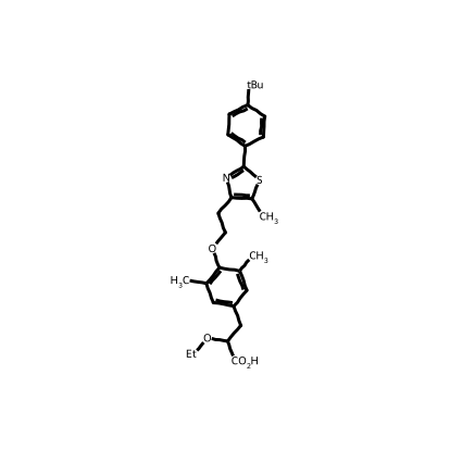 CCOC(Cc1cc(C)c(OCCc2nc(-c3ccc(C(C)(C)C)cc3)sc2C)c(C)c1)C(=O)O